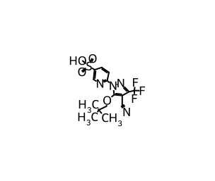 CC(C)(C)COc1c(C#N)c(C(F)(F)F)nn1-c1ccc(S(=O)(=O)O)cn1